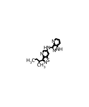 CCC(C)c1nsc2cc(Nc3n[nH]c4cccnc34)cnc12